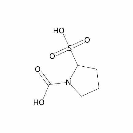 O=C(O)N1CCCC1S(=O)(=O)O